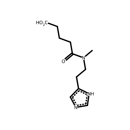 CN(CCc1cnc[nH]1)C(=O)CCCC(=O)O